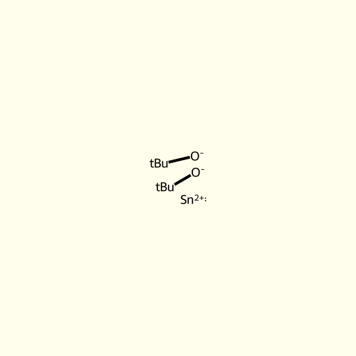 CC(C)(C)[O-].CC(C)(C)[O-].[Sn+2]